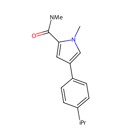 CNC(=O)c1cc(-c2ccc(C(C)C)cc2)cn1C